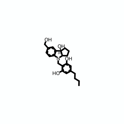 CCCCc1cc(O)c(CN2c3ccc(CO)cc3[C@]3(O)CCCC23)c(O)c1